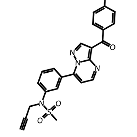 C#CCN(c1cccc(-c2ccnc3c(C(=O)c4ccc(C)cc4)cnn23)c1)S(C)(=O)=O